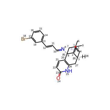 C/C=C1\[C@H]2C=C(C)C[C@]1(N=CC=Cc1cccc(Br)c1)c1ccc(=O)[nH]c1C2